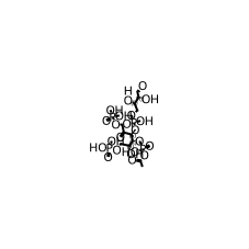 CC(=O)OP(=O)(O)O[C@H]([C@H](O)COP(=O)(O)O)[C@H](OP(=O)(O)OC[C@@H](O)[C@@H](O)C=O)C(=O)COP(=O)(O)O